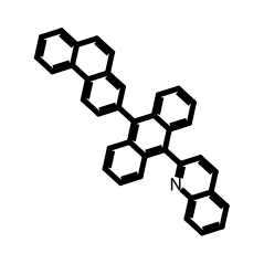 c1ccc2nc(-c3c4ccccc4c(-c4ccc5c(ccc6ccccc65)c4)c4ccccc34)ccc2c1